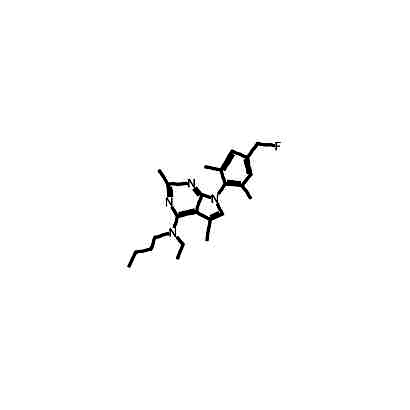 CCCCN(CC)c1nc(C)nc2c1c(C)cn2-c1c(C)cc(CF)cc1C